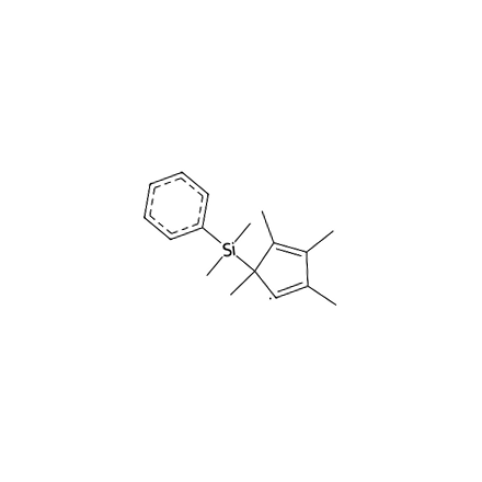 CC1=[C]C(C)([Si](C)(C)c2ccccc2)C(C)=C1C